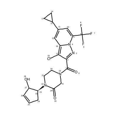 O=C(c1nn2c(C(F)(F)F)cc(C3CC3)cc2c1Cl)N1CCN([C@H]2CC=CC2O)C(=O)C1